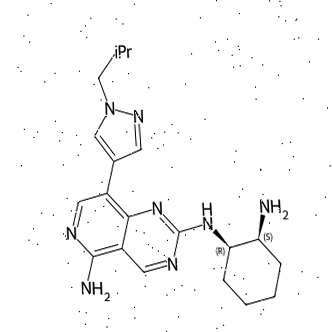 CC(C)Cn1cc(-c2cnc(N)c3cnc(N[C@@H]4CCCC[C@@H]4N)nc23)cn1